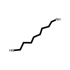 [NH]CCCCCCCC[NH]